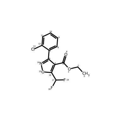 CCOC(=O)c1c(-c2ccccc2Cl)noc1C(F)F